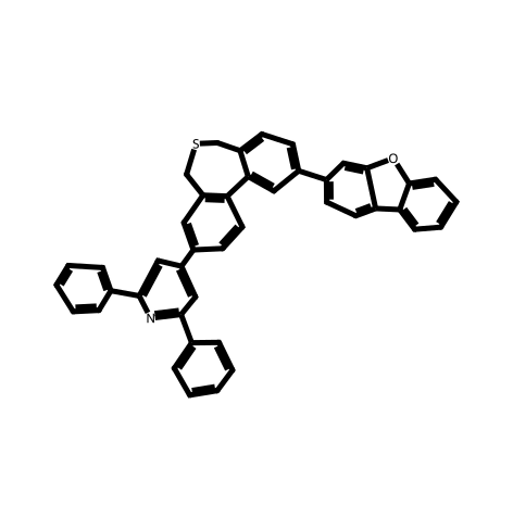 c1ccc(-c2cc(-c3ccc4c(c3)CSCc3ccc(-c5ccc6c(c5)oc5ccccc56)cc3-4)cc(-c3ccccc3)n2)cc1